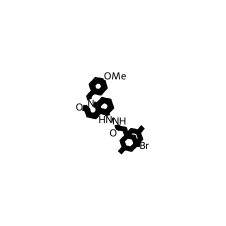 COc1ccc(Cn2c(=O)ccc3c(NNC(=O)CC45CC(C)CC(Br)(CC(C)C4)C5)cccc32)cc1